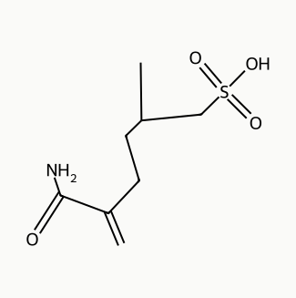 C=C(CCC(C)CS(=O)(=O)O)C(N)=O